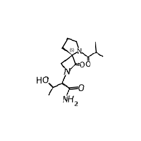 CC(C)C(=O)N1CCC[C@@]12CN(C(C(N)=O)C(C)O)C2=O